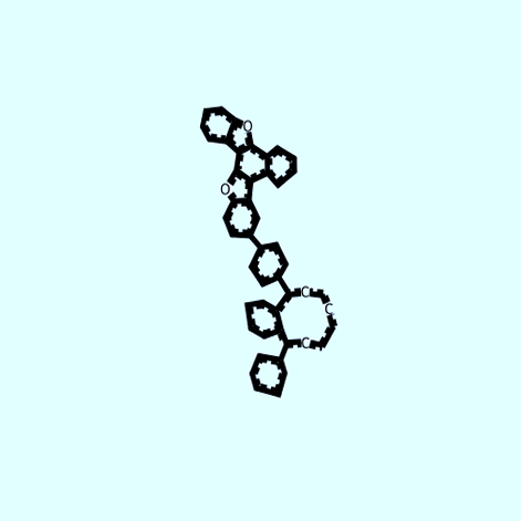 c1ccc(-c2ccccccc(-c3ccc(-c4ccc5oc6c(c5c4)c4ccccc4c4oc5ccccc5c46)cc3)c3ccccc23)cc1